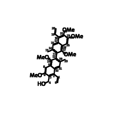 C=Cc1c(CO)c(OC)cc2c(OC)c(-c3c(C)cc4c(C=C)c(OC)c(OC)cc4c3OC)c(C)cc12